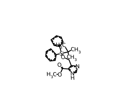 COC(=O)c1[nH]cnc1CO[Si](c1ccccc1)(c1ccccc1)C(C)(C)C